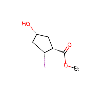 CCOC(=O)[C@H]1C[C@@H](O)C[C@H]1I